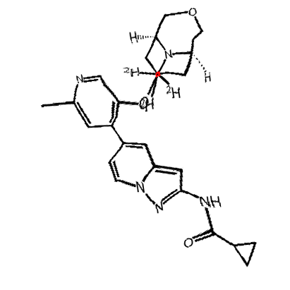 [2H]C([2H])([2H])N1[C@@H]2COC[C@H]1CC(Oc1cnc(C)cc1-c1ccn3nc(NC(=O)C4CC4)cc3c1)C2